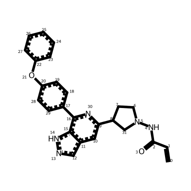 C=CC(=O)NN1CCC(c2cc3cn[nH]c3c(-c3ccc(Oc4ccccc4)cc3)n2)C1